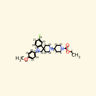 CCOC(=O)N1CCC(N2CCC3(CC2)CN(c2ccc(OC)cc2)c2ccc(F)cc23)CC1